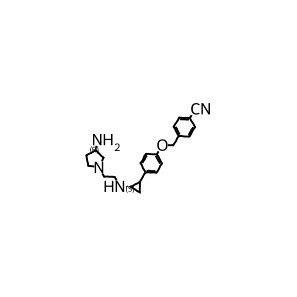 N#Cc1ccc(COc2ccc(C3C[C@@H]3NCCN3CC[C@@H](N)C3)cc2)cc1